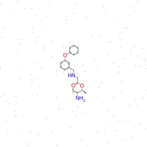 C[C@H](OC(=O)CNCc1cccc(Oc2ccccc2)c1)C(N)=S